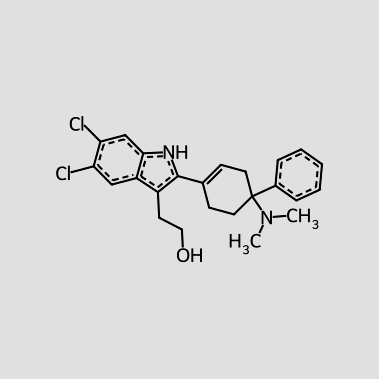 CN(C)C1(c2ccccc2)CC=C(c2[nH]c3cc(Cl)c(Cl)cc3c2CCO)CC1